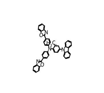 C[C@@H]1CC(n2c3ccccc3c3ccccc32)=CC=C1N(c1ccc(-c2nc3ccccc3o2)cc1)c1ccc(-c2nc3ccccc3o2)cc1